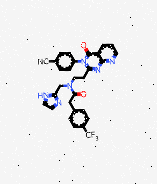 N#Cc1ccc(-n2c(CCN(Cc3ncc[nH]3)C(=O)Cc3ccc(C(F)(F)F)cc3)nc3ncccc3c2=O)cc1